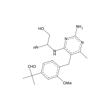 CCCC(CO)Nc1nc(N)nc(C)c1Cc1ccc(C(C)(C)C=O)cc1OC